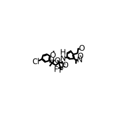 COc1ccc(Cl)cc1C(C)(C)CC(O)(C(=O)Nc1ccc2c(c1)C(C)=NOC2C=O)C(F)(F)F